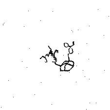 C=CC(=O)OCC12CC3CC(C1)CC(CSC(C)SCC)(C3)C2